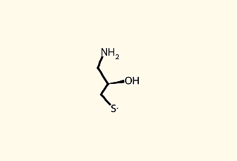 NC[C@@H](O)C[S]